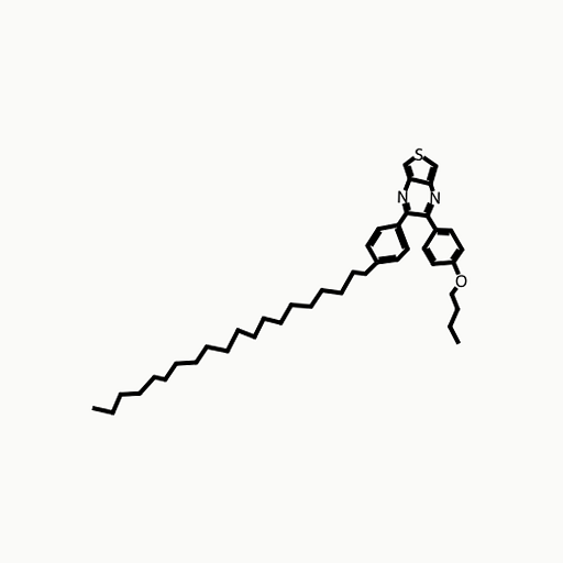 CCCCCCCCCCCCCCCCCCCCc1ccc(-c2nc3cscc3nc2-c2ccc(OCCCC)cc2)cc1